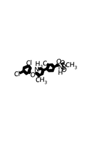 Cc1cc(C(=O)NS(C)(=O)=O)ccc1-c1cnc(Oc2cc(Cl)cc(Cl)c2)c(C)c1